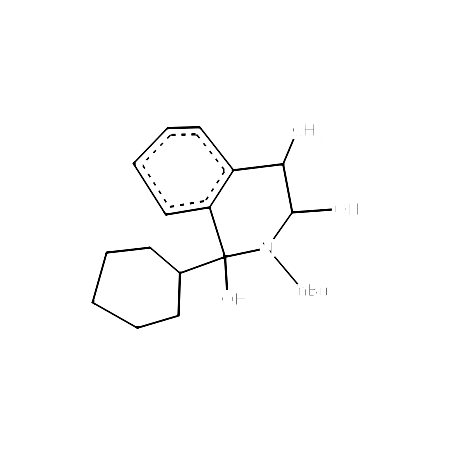 CCCCN1C(O)C(C)c2ccccc2C1(O)C1CCCCC1